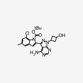 Cc1cc(Cl)c2c(c1)cc(-c1nn(C3CC(O)C3)c3ncnc(N)c13)n2C(=O)OC(C)(C)C